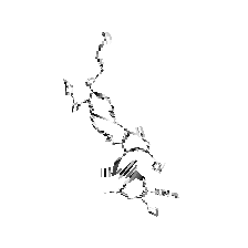 CCOc1c(OCCCl)ccc2c1ccc1c(Nc3cc(OC)c(Cl)cc3C)c(C#N)cnc12